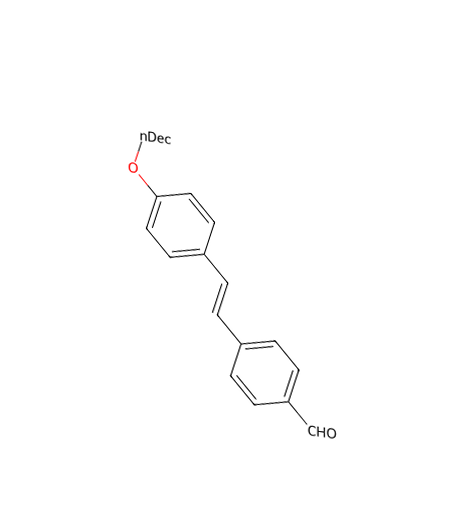 CCCCCCCCCCOc1ccc(C=Cc2ccc(C=O)cc2)cc1